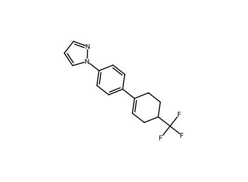 FC(F)(F)C1CC=C(c2ccc(-n3cccn3)cc2)CC1